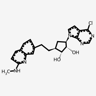 CNc1ccc2ccc(CC[C@H]3C[C@@H](n4ccc5c(Cl)ncnc54)[C@H](O)[C@@H]3O)cc2n1